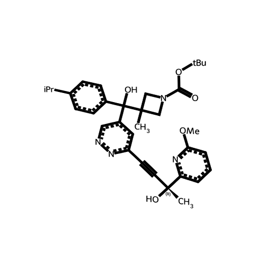 COc1cccc([C@](C)(O)C#Cc2cc(C(O)(c3ccc(C(C)C)cc3)C3(C)CN(C(=O)OC(C)(C)C)C3)cnn2)n1